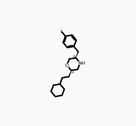 Ic1ccc(C[C@@H]2CO[C@H](CCC3CCCCC3)CN2)cc1